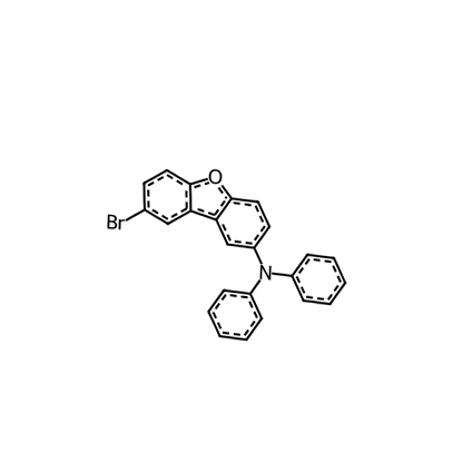 Brc1ccc2oc3ccc(N(c4ccccc4)c4ccccc4)cc3c2c1